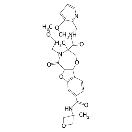 COCCN1C(=O)c2oc3cc(C(=O)NC4(C)COC4)ccc3c2OCC1(C)C(=O)NCc1ncccc1OC